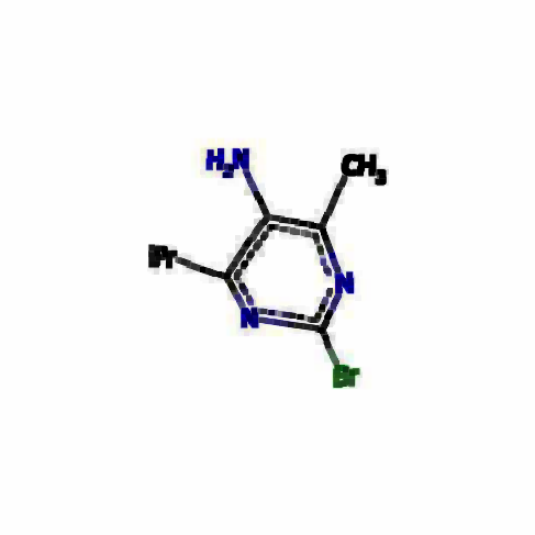 Cc1nc(Br)nc(C(C)C)c1N